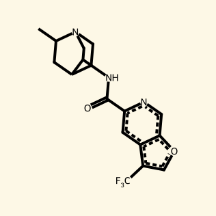 CC1CC2CCN1CC2NC(=O)c1cc2c(C(F)(F)F)coc2cn1